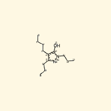 CCCCc1c(CCC)nn(CCC)c1O